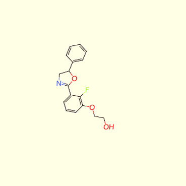 OCCOc1cccc(C2=NCC(c3ccccc3)O2)c1F